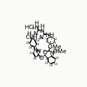 C1CCCCC1.COC(=O)N(OC)c1ccccc1COc1ccn(-c2ccc(Cl)cc2)n1.Cl.N=C(N)NC(=N)N